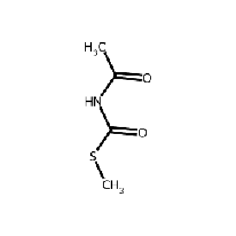 CSC(=O)NC(C)=O